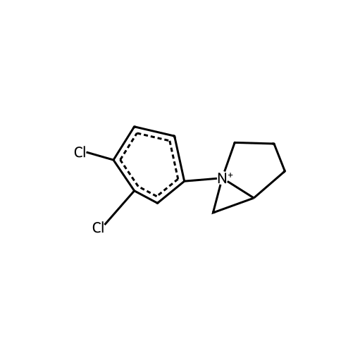 Clc1ccc([N+]23CCCC2C3)cc1Cl